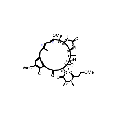 COCCC(=O)N(C)[C@@H](C)C(=O)O[C@H]1CC(=O)Cc2cc(cc(OC)c2Cl)C/C(C)=C/C=C/[C@@H](OC)[C@@]2(O)C[C@H](OC(=O)N2)[C@@H](C)[C@@H]2O[C@@]12C